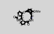 CCC(=O)N1CCC2Oc3ccc(OC)c(c3)/C=C\NC(=O)C3CCCN3C(=O)C21